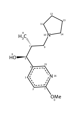 COc1ccc([C@@H](O)[C@H](C)CN2CCCC2)cn1